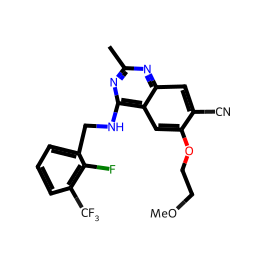 COCCOc1cc2c(NCc3cccc(C(F)(F)F)c3F)nc(C)nc2cc1C#N